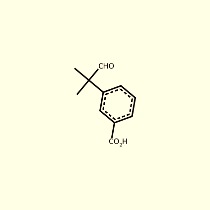 CC(C)(C=O)c1cccc(C(=O)O)c1